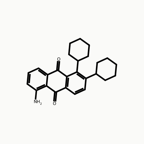 Nc1cccc2c1C(=O)c1ccc(C3CCCCC3)c(C3CCCCC3)c1C2=O